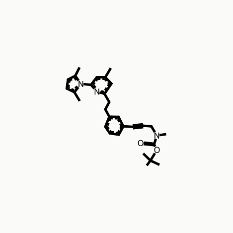 Cc1cc(CCc2cccc(C#CCN(C)C(=O)OC(C)(C)C)c2)nc(-n2c(C)ccc2C)c1